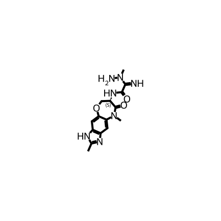 Cc1nc2cc3c(cc2[nH]1)OC[C@H](NC(=O)C(=N)N(C)N)C(=O)N3C